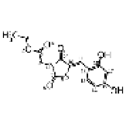 CCOC(=O)CN1C(=O)S/C(=C\c2ccc(O)cc2O)C1=O